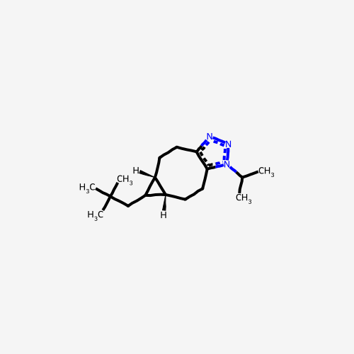 CC(C)n1nnc2c1CC[C@@H]1C(CC(C)(C)C)[C@@H]1CC2